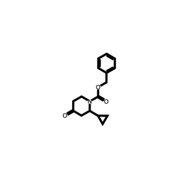 O=C1CCN(C(=O)OCc2ccccc2)C(C2CC2)C1